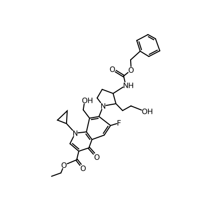 CCOC(=O)c1cn(C2CC2)c2c(CO)c(N3CCC(NC(=O)OCc4ccccc4)C3CCO)c(F)cc2c1=O